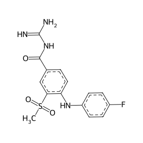 CS(=O)(=O)c1cc(C(=O)NC(=N)N)ccc1Nc1ccc(F)cc1